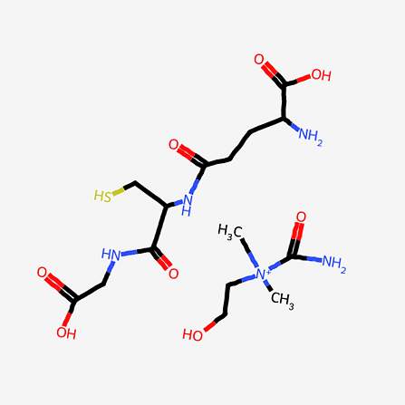 C[N+](C)(CCO)C(N)=O.NC(CCC(=O)NC(CS)C(=O)NCC(=O)O)C(=O)O